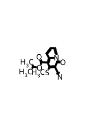 CSc1c(C#N)c(=O)n2ccccc2c1C(=O)OC(C)C